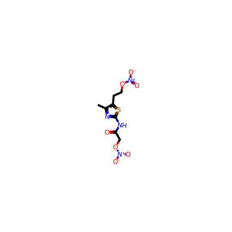 Cc1nc(NC(=O)CO[N+](=O)[O-])sc1CCO[N+](=O)[O-]